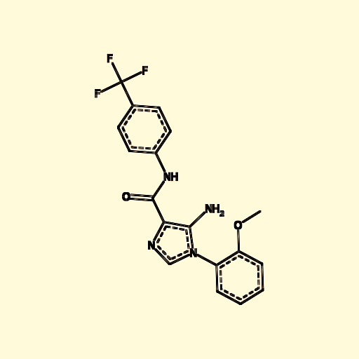 COc1ccccc1-n1cnc(C(=O)Nc2ccc(C(F)(F)F)cc2)c1N